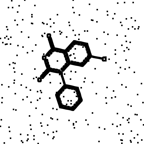 O=c1oc(=O)n(-c2ccccc2)c2cc(Cl)ccc12